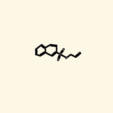 C=C[CH]OS(=O)(=O)c1ccc2ccccc2c1